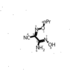 CCCON=C(C#N)C(N)=NO